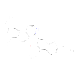 Cc1cc(CC(C)(C)C)cc2c1cc1c3c(nccc32)-c2cc3cc(CC(C)(C)C)ccc3c(CC(C)(C)C)c2O1